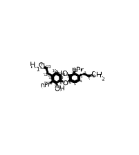 C=CCc1ccc(Oc2ccc(CC=C)c(CCC)c2O)c(O)c1CCC